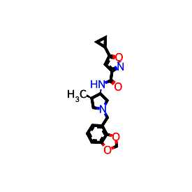 C[C@@H]1CN(Cc2cccc3c2OCO3)C[C@H]1NC(=O)c1cc(C2CC2)on1